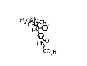 CCC(C)(C)n1cc(C(Nc2ccc(C(=O)NCCC(=O)O)cc2)C2CCCCC2)c(C)n1